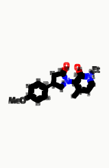 CCn1ccc(C)c(N2C[C@@H](c3ccc(OC)cc3)CC2=O)c1=O